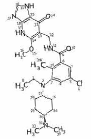 CCN(c1cc(Cl)cc(C(=O)NCc2c(OC)[nH]c3nc[nH]c3c2=O)c1C)[C@H]1CC[C@H](N(C)C)CC1